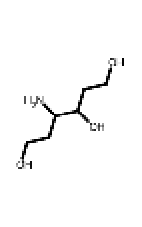 NC(CCO)C(O)CCO